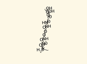 B[C@](C)(CCCC)SC1CC(=O)N(CCC(=O)NCCOCCOCCC(=O)NCCNC(=O)CCCC(=O)OCC(O)OC(CC)CO)C1=O